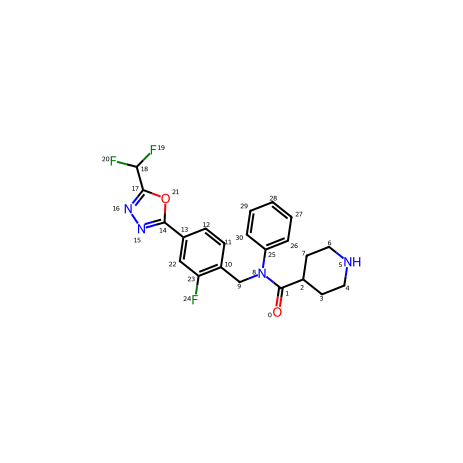 O=C(C1CCNCC1)N(Cc1ccc(-c2nnc(C(F)F)o2)cc1F)c1ccccc1